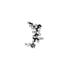 Cn1nnnc1SCC1=C(C(=O)O)N2C(=O)[C@H](NC(=O)C(NC(=O)NCC#N)c3cccs3)C2SC1